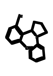 CC(=O)c1cccc(C=O)c1C1CCCN1c1ccccc1